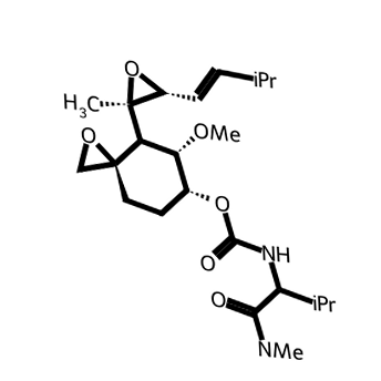 CNC(=O)C(NC(=O)O[C@@H]1CC[C@]2(CO2)C([C@@]2(C)O[C@@H]2/C=C/C(C)C)[C@@H]1OC)C(C)C